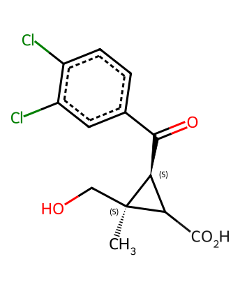 C[C@@]1(CO)C(C(=O)O)[C@@H]1C(=O)c1ccc(Cl)c(Cl)c1